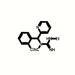 CCNC(=N)N(C#N)C(c1ccccn1)c1ccccc1Cl